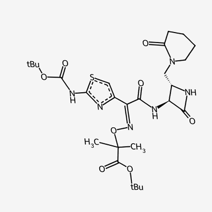 CC(C)(C)OC(=O)Nc1nc(C(=NOC(C)(C)C(=O)OC(C)(C)C)C(=O)N[C@@H]2C(=O)N[C@H]2CN2CCCCC2=O)cs1